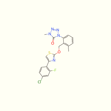 Cc1cccc(-n2nnn(C)c2=O)c1COc1nc(-c2ccc(Cl)cc2F)cs1